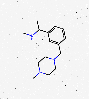 CNC(C)c1cccc(CN2CCN(C)CC2)c1